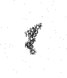 CCOc1ccn(-c2ccc(F)cc2)c(=O)c1C(=O)Nc1ccc(Oc2ccnc3cc(-c4ccccc4)oc23)c(F)c1